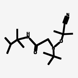 CC(C)C(C)(C)NC(=O)CN(OC(C)(C)C#N)C(C)(C)C